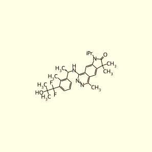 Cc1c([C@@H](C)Nc2nnc(C)c3cc4c(cc23)N(C(C)C)C(=O)C4(C)C)cccc1C(F)(F)C(C)(C)O